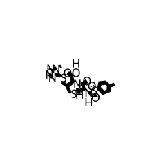 Cc1ccc(S(=O)(=O)NC2C(=O)N3C(C(=O)O)=C(CSc4nnnn4C)CS[C@@H]23)cc1